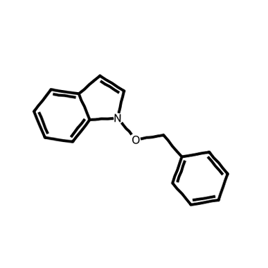 c1ccc(COn2ccc3ccccc32)cc1